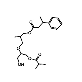 CC(COC(=O)CC(C)c1ccccc1)COC(CO)COC(=O)C(C)C